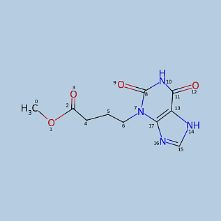 COC(=O)CCCn1c(=O)[nH]c(=O)c2[nH]cnc21